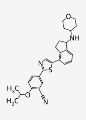 CC(C)Oc1ccc(-c2ncc(-c3cccc4c3CCC4NC3CCOCC3)s2)cc1C#N